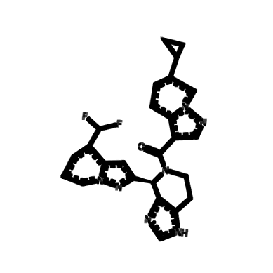 O=C(c1cnn2cc(C3CC3)ccc12)N1CCc2[nH]cnc2[C@H]1c1cc2c(C(F)F)cccn2n1